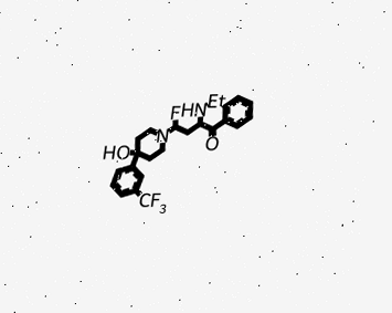 CCNC(CC(F)N1CCC(O)(c2cccc(C(F)(F)F)c2)CC1)C(=O)c1ccccc1